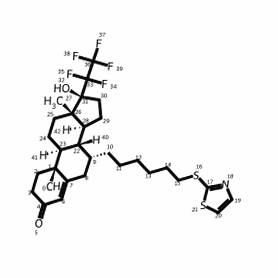 C[C@]12CCC(=O)C=C1C[C@@H](CCCCCCSc1nccs1)[C@@H]1[C@@H]2CC[C@@]2(C)[C@H]1CC[C@@]2(O)C(F)(F)C(F)(F)F